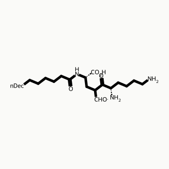 CCCCCCCCCCCCCCCC(=O)N[C@@H](CC([C]=O)C(=O)[C@@H](N)CCCCN)C(=O)O